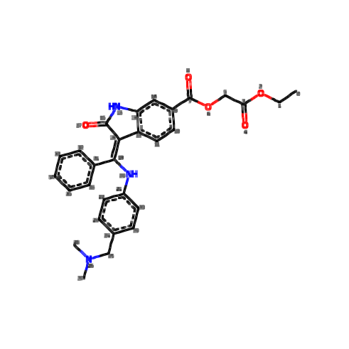 CCOC(=O)COC(=O)c1ccc2c(c1)NC(=O)C2=C(Nc1ccc(CN(C)C)cc1)c1ccccc1